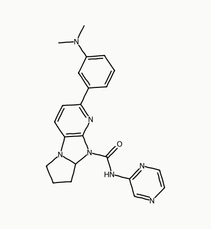 CN(C)c1cccc(-c2ccc3c(n2)N(C(=O)Nc2cnccn2)C2CCCN32)c1